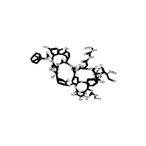 CCCCCCNC(=O)NC(=O)C[C@@H]1NC(=O)[C@H](NC(=O)[C@@H](CC(C)C)NC)[C@H](O)c2ccc3c(c2)C(OC(=O)NCCCCCC)[C@H]2O[C@@H](Oc4c5cc(cc4O3)[C@@H](NC1=O)C(=O)N[C@H]1C(=O)N[C@H](C(=O)N[C@H](C(=O)NC3C4CC6CC(C4)CC3C6)c3cc(O)cc(C)c3-c3cc1ccc3O)[C@H](O)c1ccc(c(Cl)c1)O5)[C@H](O)[C@@H](O)[C@@H]2O